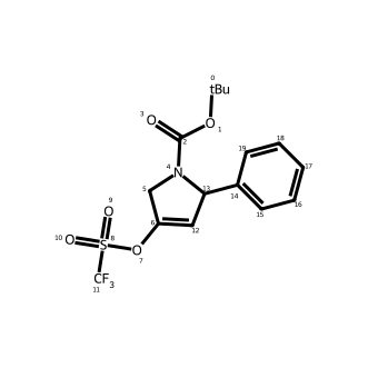 CC(C)(C)OC(=O)N1CC(OS(=O)(=O)C(F)(F)F)=CC1c1ccccc1